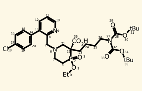 CCOP1(=O)CCN(Cc2ncccc2-c2ccc(Cl)cc2)C[C@@]1(CCCCN(C(=O)OC(C)(C)C)C(=O)OC(C)(C)C)C(=O)O